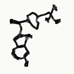 CCC(O)(CC)CC1CCN(C(=O)c2cc3cnc(Cl)cc3[nH]2)CC1